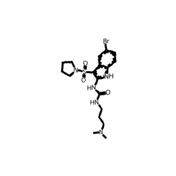 CN(C)CCCNC(=O)Nc1[nH]c2ccc(Br)cc2c1S(=O)(=O)N1CCCC1